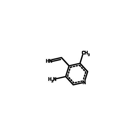 Cc1cncc(N)c1C=N